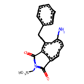 Nc1ccc2c(c1Cc1ccccc1)C(=O)N(S(=O)(=O)O)C2=O